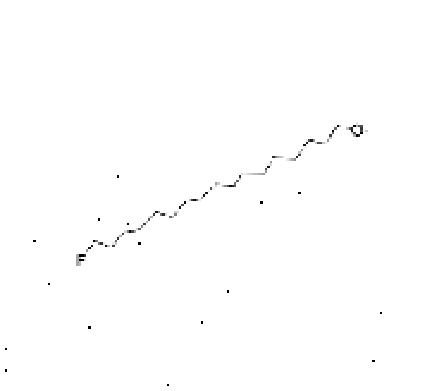 [O]CCCCCCCCCCCCCCCCCF